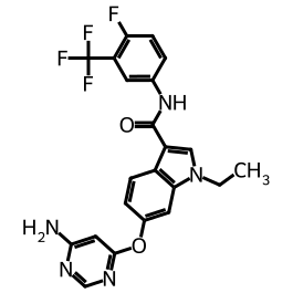 CCn1cc(C(=O)Nc2ccc(F)c(C(F)(F)F)c2)c2ccc(Oc3cc(N)ncn3)cc21